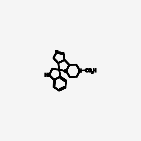 O=C(O)N1CCN2C(C1)C1C=NCC1C21CNc2ccccc21